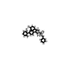 C[C@]1(c2ccc(F)cc2)CN(C(=O)NCc2ccccc2)C[C@H]1c1ccc(-c2c(F)cccc2F)cc1